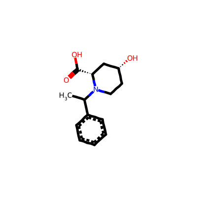 CC(c1ccccc1)N1CC[C@@H](O)C[C@H]1C(=O)O